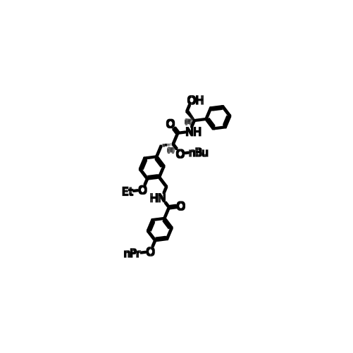 CCCCO[C@H](Cc1ccc(OCC)c(CNC(=O)c2ccc(OCCC)cc2)c1)C(=O)N[C@@H](CO)c1ccccc1